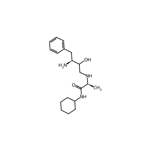 C[C@H](NCC(O)[C@@H](N)Cc1ccccc1)C(=O)NC1CCCCC1